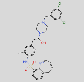 Cc1cc(CC(O)N2CCN(Cc3cc(Cl)cc(Cl)c3)CC2)ccc1NS(=O)(=O)c1cccc2c1N=CC=CC2